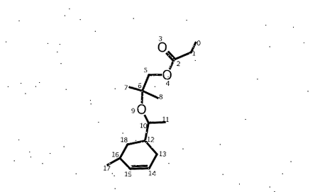 CCC(=O)OCC(C)(C)OC(C)C1CC=CC(C)C1